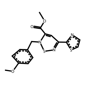 COC(=O)C1=CC(c2nccs2)=NSN1Cc1ccc(OC)cc1